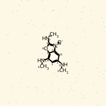 CNc1cc(NC)c2oc(NC)[n+]([O-])c2c1